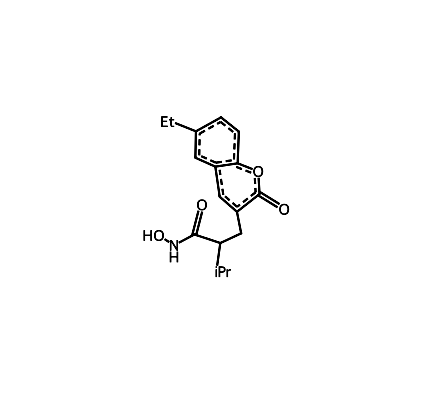 CCc1ccc2oc(=O)c(CC(C(=O)NO)C(C)C)cc2c1